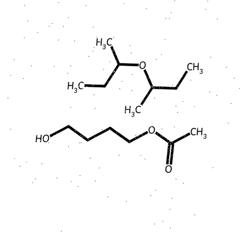 CC(=O)OCCCCO.CCC(C)OC(C)CC